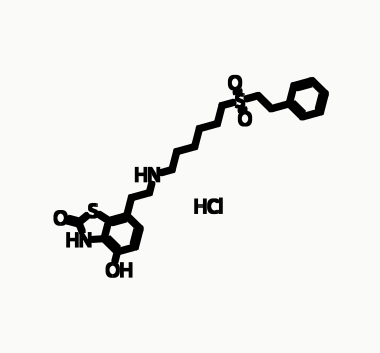 Cl.O=c1[nH]c2c(O)ccc(CCNCCCCCCS(=O)(=O)CCc3ccccc3)c2s1